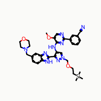 COc1cnc(-c2cccc(C#N)c2)nc1Nc1cn(COCC[Si](C)(C)C)nc1-c1nc2cc(CN3CCOCC3)ccc2[nH]1